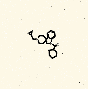 O=C(C1CCCCC1)N1CC2(CCN(CC3CC3)CC2)c2ccccc21